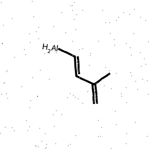 C=C(C)C=[CH][AlH2]